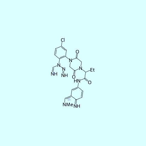 CCC(C(=O)NC1=C/C(=C/NC)C(=N)C=C1)N1CC(=O)N(c2cc(Cl)ccc2N(C=N)N=N)CC1=O